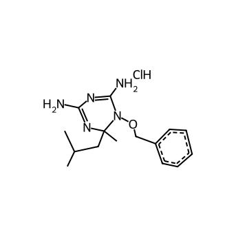 CC(C)CC1(C)N=C(N)N=C(N)N1OCc1ccccc1.Cl